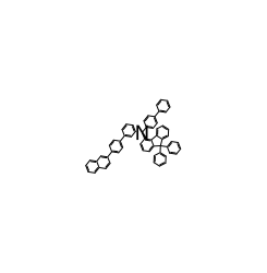 c1ccc(-c2ccc(N(c3cccc(-c4ccc(-c5ccc6ccccc6c5)cc4)c3)c3cccc4c3-c3ccccc3C4(c3ccccc3)c3ccccc3)cc2)cc1